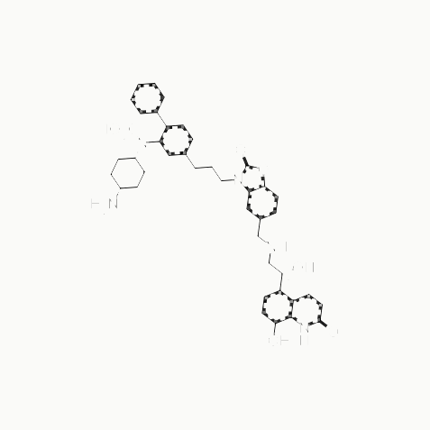 N[C@H]1CC[C@H](N(C(=O)O)c2cc(CCCn3c(=O)oc4ccc(CNC[C@H](O)c5ccc(O)c6[nH]c(=O)ccc56)cc43)ccc2-c2ccccc2)CC1